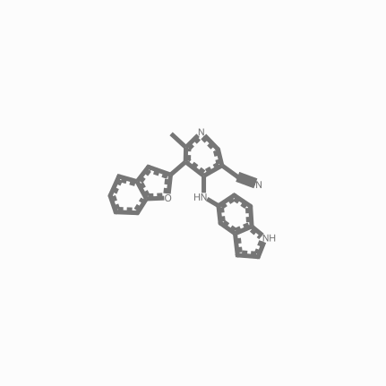 Cc1ncc(C#N)c(Nc2ccc3[nH]ccc3c2)c1-c1cc2ccccc2o1